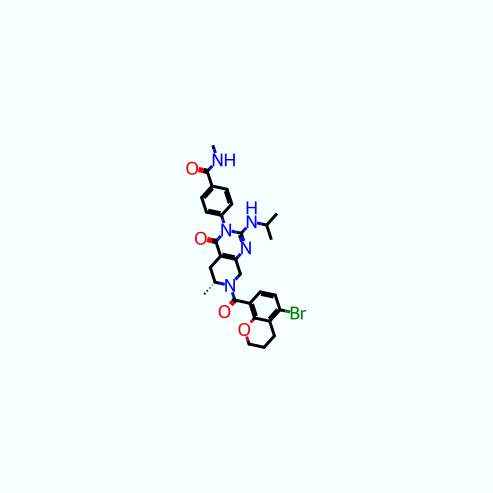 CNC(=O)c1ccc(-n2c(NC(C)C)nc3c(c2=O)C[C@@H](C)N(C(=O)c2ccc(Br)c4c2OCCC4)C3)cc1